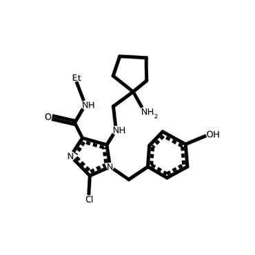 CCNC(=O)c1nc(Cl)n(Cc2ccc(O)cc2)c1NCC1(N)CCCC1